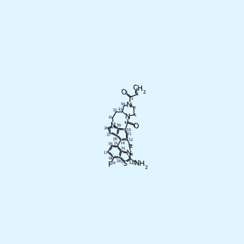 C=CC(=O)N1CCN2C(=O)c3cc(F)c(-c4ccc(F)c5sc(N)nc45)c4ccn(c34)CCC2C1